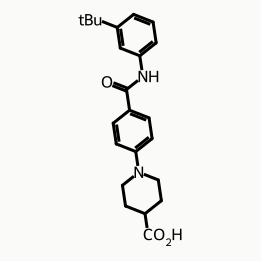 CC(C)(C)c1cccc(NC(=O)c2ccc(N3CCC(C(=O)O)CC3)cc2)c1